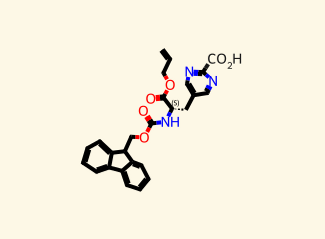 C=CCOC(=O)[C@H](Cc1cnc(C(=O)O)nc1)NC(=O)OCC1c2ccccc2-c2ccccc21